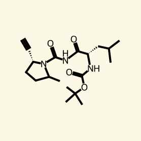 C#C[C@H]1CCC(C)N1C(=O)NC(=O)[C@H](CC(C)C)NC(=O)OC(C)(C)C